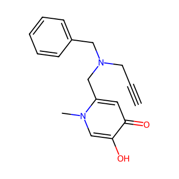 C#CCN(Cc1ccccc1)Cc1cc(=O)c(O)cn1C